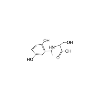 CC(NC(CO)C(=O)O)c1cc(O)ccc1O